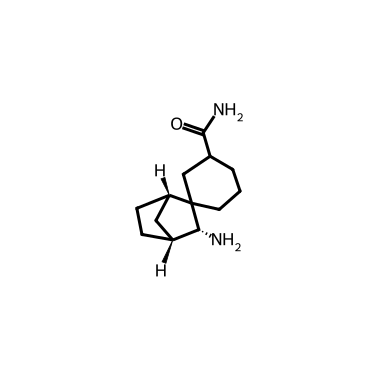 NC(=O)C1CCCC2(C1)[C@H]1CC[C@H](C1)[C@H]2N